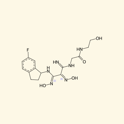 N=C(NCC(=O)NCCO)C(=N\O)/C(=N/O)NC1CCc2ccc(F)cc21